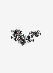 CC(C)C(N)C(=O)O.Nc1ncnc2nc[nH]c12.O=C(O)CC(O)(CC(=O)O)C(=O)O.O=CC(O)C(O)C(O)C(O)CO.O=CC(O)C(O)C(O)C(O)CO.O=P(O)(O)O